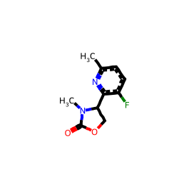 Cc1ccc(F)c(C2COC(=O)N2C)n1